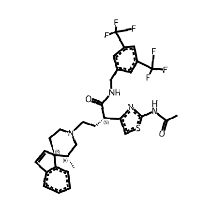 CC(=O)Nc1nc([C@H](CCN2CC[C@@]3(C=Cc4ccccc43)[C@@H](C)C2)C(=O)NCc2cc(C(F)(F)F)cc(C(F)(F)F)c2)cs1